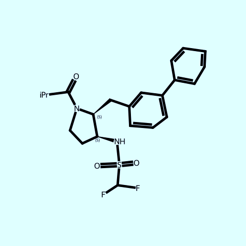 CC(C)C(=O)N1CC[C@H](NS(=O)(=O)C(F)F)[C@@H]1Cc1cccc(-c2ccccc2)c1